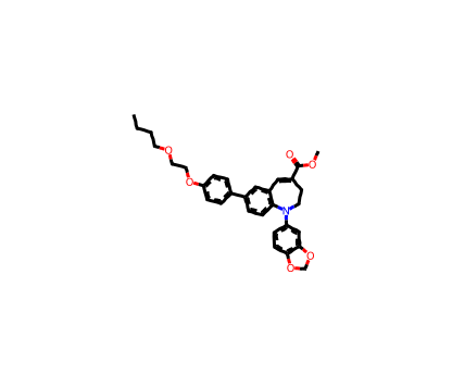 CCCCOCCOc1ccc(-c2ccc3c(c2)C=C(C(=O)OC)CCN3c2ccc3c(c2)OCO3)cc1